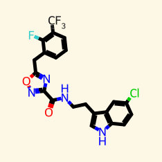 O=C(NCCc1c[nH]c2ccc(Cl)cc12)c1noc(Cc2cccc(C(F)(F)F)c2F)n1